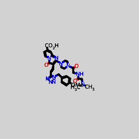 COc1ccc(Cn2nnnc2C=Cc2c(N3CCN(C(=O)CNC(=O)CN(C)C)CC3)nc3cc(C(=O)O)ccn3c2=O)cc1